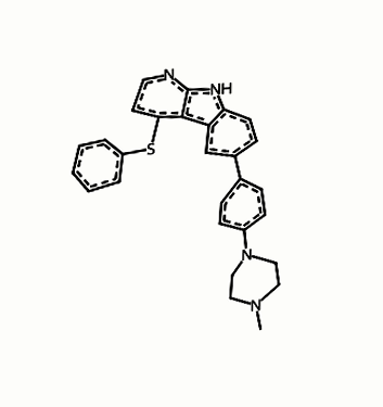 CN1CCN(c2ccc(-c3ccc4[nH]c5nccc(Sc6ccccc6)c5c4c3)cc2)CC1